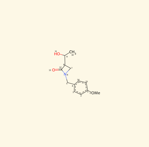 COc1ccc(CN2CC(C(C)O)C2=O)cc1